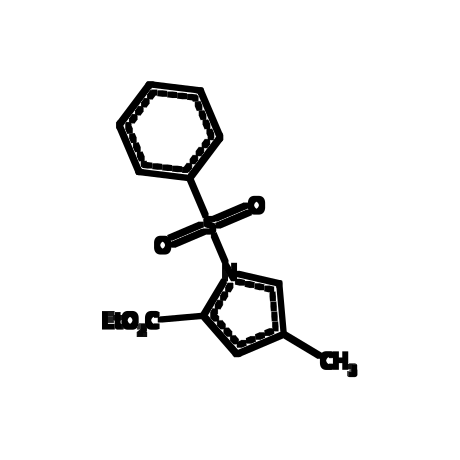 CCOC(=O)c1cc(C)cn1S(=O)(=O)c1ccccc1